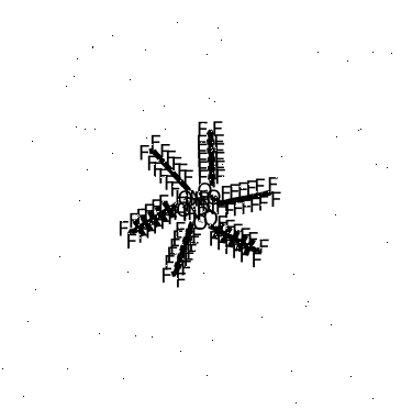 FC(F)C(F)(F)C(F)(F)C(F)(F)C(F)(F)C(F)(F)CO[PH]1(OCC(F)(F)C(F)(F)C(F)(F)C(F)(F)C(F)(F)C(F)F)N[PH](OCC(F)(F)C(F)(F)C(F)(F)C(F)(F)C(F)(F)C(F)F)(OCC(F)(F)C(F)(F)C(F)(F)C(F)(F)C(F)(F)C(F)F)N[PH](OCC(F)(F)C(F)(F)C(F)(F)C(F)(F)C(F)(F)C(F)F)(OCC(F)(F)C(F)(F)C(F)(F)C(F)(F)C(F)(F)C(F)F)N1